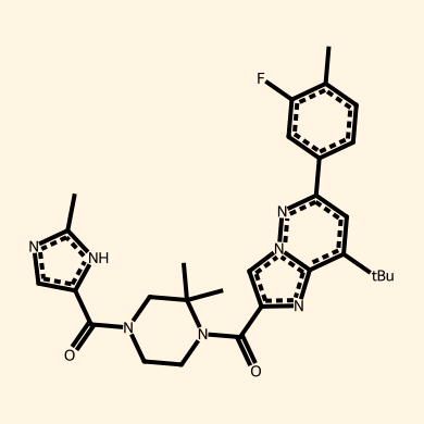 Cc1ncc(C(=O)N2CCN(C(=O)c3cn4nc(-c5ccc(C)c(F)c5)cc(C(C)(C)C)c4n3)C(C)(C)C2)[nH]1